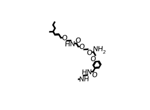 CCCC(C)/C=C/COCCNC(=O)COCCOC(N)COc1cccc(C(=O)NCCNC)c1